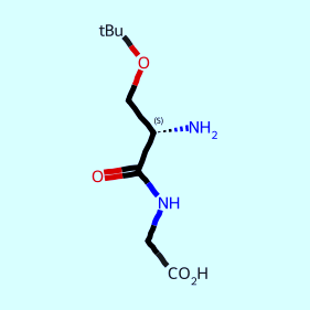 CC(C)(C)OC[C@H](N)C(=O)NCC(=O)O